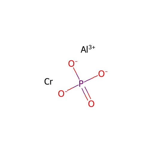 O=P([O-])([O-])[O-].[Al+3].[Cr]